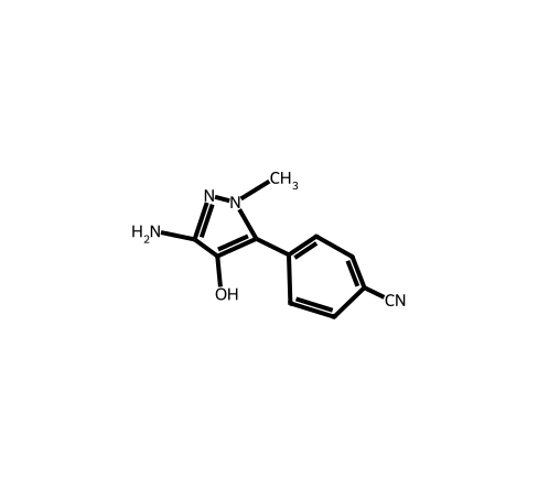 Cn1nc(N)c(O)c1-c1ccc(C#N)cc1